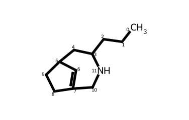 CCCC1CC2C=C(CC2)CN1